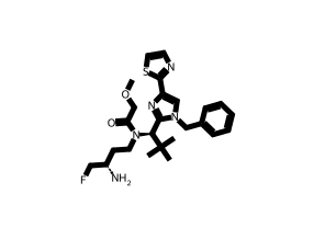 COCC(=O)N(CC[C@H](N)CF)[C@@H](c1nc(-c2nccs2)cn1Cc1ccccc1)C(C)(C)C